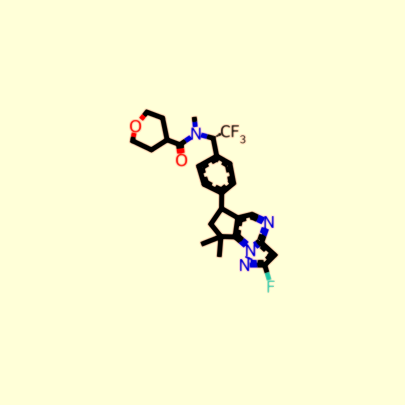 CN(C(=O)C1CCOCC1)[C@@H](c1ccc(C2CC(C)(C)c3c2cnc2cc(F)nn32)cc1)C(F)(F)F